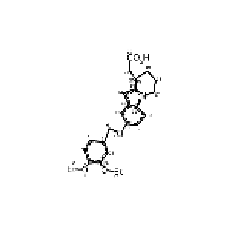 CCOc1ccc(COc2ccc3c(c2)cc2n3CCC[C@@H]2CC(=O)O)cc1OCC